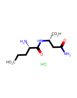 Cl.NC(=O)C[C@H](NC(=O)[C@@H](N)CCC(=O)O)C(=O)O